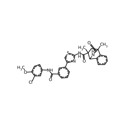 COc1ccc(NC(=O)c2cccc(-c3csc(NC(=O)C4(C)CC5(C)C(=O)NC4c4ccccc45)n3)c2)cc1Cl